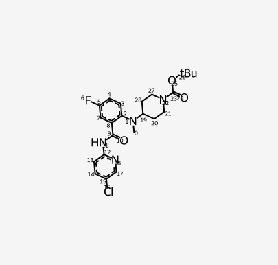 CN(c1ccc(F)cc1C(=O)Nc1ccc(Cl)cn1)C1CCN(C(=O)OC(C)(C)C)CC1